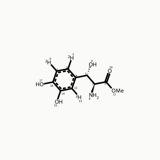 [2H]c1c([2H])c([C@H](O)[C@H](N)C(=O)OC)c([2H])c(O)c1O